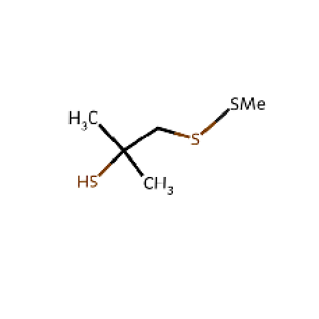 CSSCC(C)(C)S